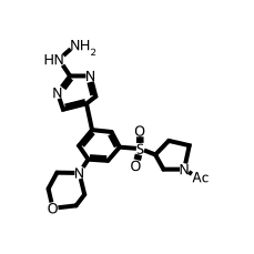 CC(=O)N1CCC(S(=O)(=O)c2cc(-c3cnc(NN)nc3)cc(N3CCOCC3)c2)C1